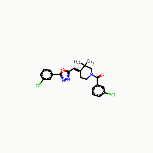 CC1(C)CN(C(=O)c2cccc(Cl)c2)CC/C1=C\c1nnc(-c2cccc(Cl)c2)o1